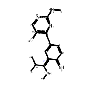 CN/C(=C1/C=C(c2nc(NC)ncc2F)C=CC1=N)C(C)C